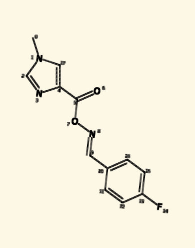 Cn1cnc(C(=O)ON=Cc2ccc(F)cc2)c1